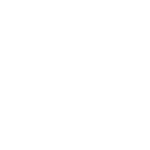 [Ca+2].[Ga+3].[O-][Si]([O-])([O-])[O-].[Ta+5]